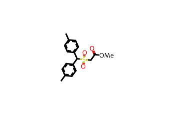 COC(=O)CS(=O)(=O)C(c1ccc(C)cc1)c1ccc(C)cc1